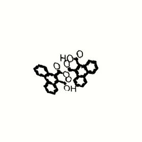 O=C(O)c1c(C(=O)OC(=O)c2c(C(=O)O)c3ccccc3c3ccccc23)c2ccccc2c2ccccc12